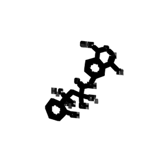 CCC1=NOC(C=O)c2ccc(NC(=O)C(O)(CC(C)(C)c3ccccc3O)C(F)(F)F)cc21